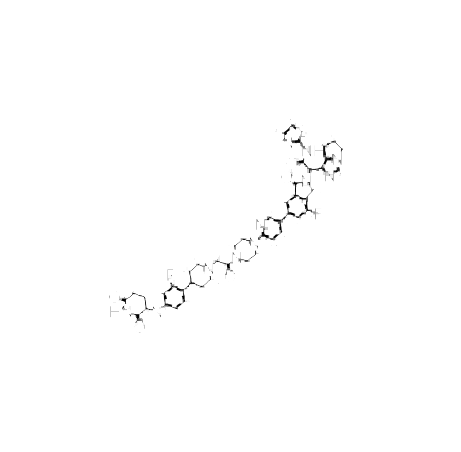 O=C1CCC(Nc2ccc(C3CCN(CC(=O)N4CCN(c5ccc(-c6cc(F)c7c(c6)C(=O)N(C(C(=O)Nc6nccs6)c6ncn8c6CCC8)C7)cn5)CC4)CC3)c(F)c2)C(=O)N1